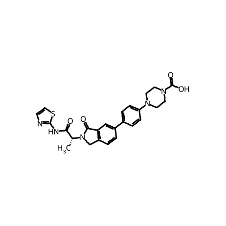 C[C@H](C(=O)Nc1nccs1)N1Cc2ccc(-c3ccc(N4CCN(C(=O)O)CC4)cc3)cc2C1=O